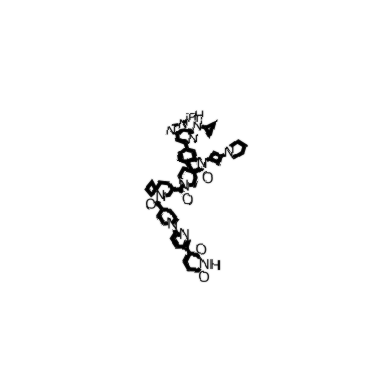 CC(C)n1cnc2cc(-c3ccc4c(c3)N(C3CC(N5CCCCC5)C3)C(=O)C43CCN(C(=O)C4CCC5(CCC5)N(C(=O)C5CCN(c6ccc(C7CCC(=O)NC7=O)cn6)CC5)C4)CC3)nc(NC3CC3)c21